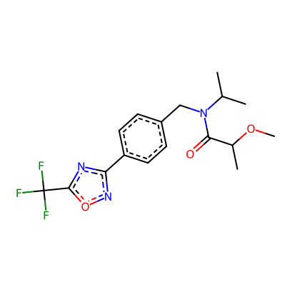 COC(C)C(=O)N(Cc1ccc(-c2noc(C(F)(F)F)n2)cc1)C(C)C